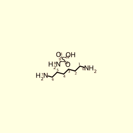 NCCCCCCN.NS(=O)(=O)O